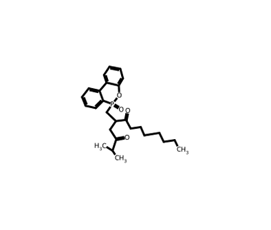 CCCCCCCC(=O)C(CC(=O)C(C)C)CP1(=O)Oc2ccccc2-c2ccccc21